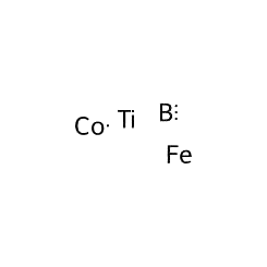 [B].[Co].[Fe].[Ti]